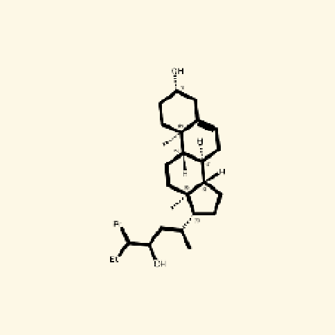 CCC(C(C)C)C(O)CC(C)[C@H]1CC[C@H]2[C@@H]3CC=C4C[C@@H](O)CC[C@]4(C)[C@H]3CC[C@]12C